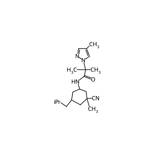 Cc1cnn(C(C)(C)C(=O)NC2CC(CC(C)C)CC(C)(C#N)C2)c1